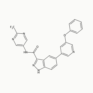 O=C(Nc1cnc(C(F)(F)F)nc1)c1n[nH]c2ccc(-c3cncc(Oc4ccccc4)c3)cc12